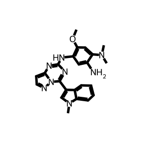 COc1cc(N(C)C)c(N)cc1Nc1nc(-c2cn(C)c3ccccc23)n2nccc2n1